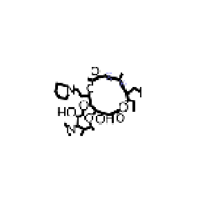 CCC1OC(=O)CC(O)C(C)C(OC2OC(C)C(C)C(N(C)C)C2O)C(CCN2CCCCC2)CC(C)C(=O)/C=C/C(C)=C/C1CI